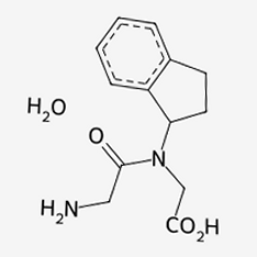 NCC(=O)N(CC(=O)O)C1CCc2ccccc21.O